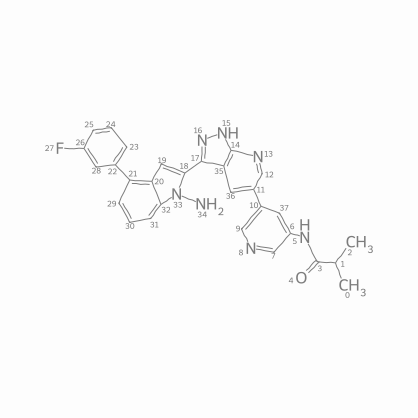 CC(C)C(=O)Nc1cncc(-c2cnc3[nH]nc(-c4cc5c(-c6cccc(F)c6)cccc5n4N)c3c2)c1